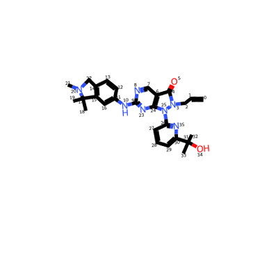 C=CCn1c(=O)c2cnc(Nc3ccc4c(c3)C(C)(C)N(C)C4)nc2n1-c1cccc(C(C)(C)O)n1